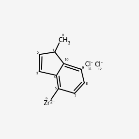 CC1C=Cc2[c]([Zr+2])cccc21.[Cl-].[Cl-]